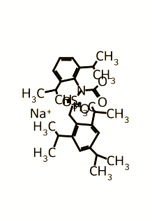 CC(C)c1cc(C(C)C)c(CS(=O)(=O)N(C(=O)[O-])c2c(C(C)C)cccc2C(C)C)c(C(C)C)c1.[Na+]